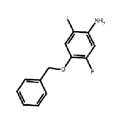 Nc1cc(F)c(OCc2ccccc2)cc1I